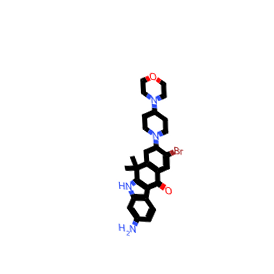 CC1(C)C2=C(C=C(Br)C(N3CCC(N4CCOCC4)CC3)C2)C(=O)c2c1[nH]c1cc(N)ccc21